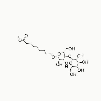 COC(=O)CCCCCCCCO[C@@H]1O[C@H](CO)[C@@H](O[C@@H]2O[C@H](CO)[C@H](O)[C@H](O)[C@H]2O)[C@H](O)[C@H]1O